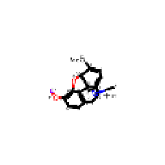 COC1=CC=C2[C@H]3Cc4ccc(OI)c5c4[C@@]2(CCN3C)C1O5